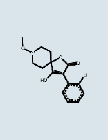 CON1CCC2(CC1)OC(=O)C(c1ccccc1Cl)=C2O